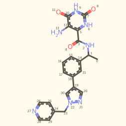 CC(NC(=O)c1[nH]c(=O)[nH]c(=O)c1N)c1cccc(-c2cnn(Cc3ccncc3)c2)c1